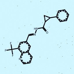 O=C(NN=Cc1cc(C(F)(F)F)c2ncccc2c1)C1CC1c1ccccc1